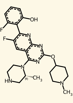 C[C@@H]1CNCCN1c1nc(OC2CCN(C)CC2)nc2nc(-c3c(O)cccc3F)c(F)cc12